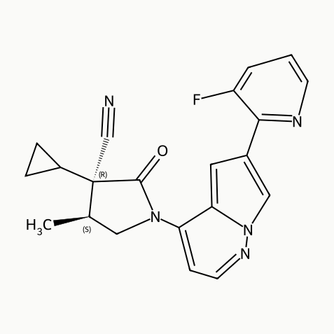 C[C@@H]1CN(c2ccnn3cc(-c4ncccc4F)cc23)C(=O)[C@]1(C#N)C1CC1